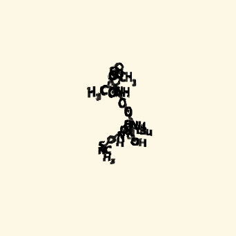 Cc1ncsc1-c1ccc(CNC(=O)C2CC(O)CN2C(=O)C(NC(=O)CCOCCOCCNC(=O)C23CC(C)CC(C2)C2(OOC4(CCCCC4)O2)C(C)C3)C(C)(C)C)cc1